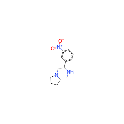 CN[C@H](CN1CCCC1)c1cccc([N+](=O)[O-])c1